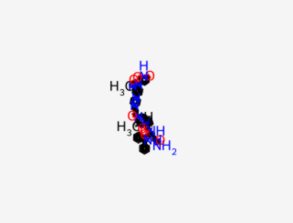 C[C@H]1CN(C(=O)CCN2CCN(c3ccc4c(c3)n(C)c(=O)n4C3CCC(=O)NC3=O)CC2)CC[C@H]2CC[C@@H](C(=O)N[C@@H](CCC(N)=O)C(=O)NC(c3ccccc3)c3ccccc3)N2C1=O